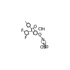 Cc1ccc(C2=C(c3cc(F)cc(F)c3)c3ccc(OCCN4CCN(S(C)(=O)=O)CC4)cc3C2=O)cc1.Cl